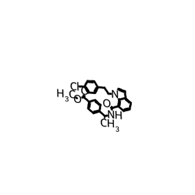 COC(=O)c1ccc([C@H](C)NC(=O)c2cccc3ccn(CCc4ccc(Cl)cc4)c23)cc1